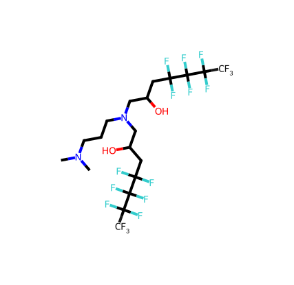 CN(C)CCCN(CC(O)CC(F)(F)C(F)(F)C(F)(F)C(F)(F)F)CC(O)CC(F)(F)C(F)(F)C(F)(F)C(F)(F)F